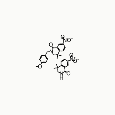 CC1(C)CNC(=O)c2cc([N+](=O)[O-])ccc21.COc1ccc(CN2CC(C)(C)c3ccc([N+](=O)[O-])cc3C2=O)cc1